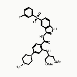 COCC(COC)Nc1cc(N2CCN(C)CC2)ccc1C(=O)Nc1n[nH]c2ccc(S(=O)(=O)c3cccc(F)c3)cc12